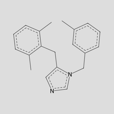 Cc1cccc(Cn2cncc2Cc2c(C)cccc2C)c1